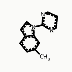 Cc1ccc2ccn(-c3ncccn3)c2c1